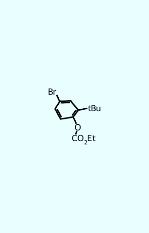 CCOC(=O)Oc1ccc(Br)cc1C(C)(C)C